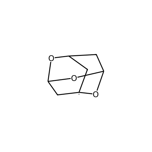 C1[C]2CC3OC1CC(O2)O3